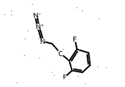 [N-]=[N+]=NCCc1c(F)cccc1F